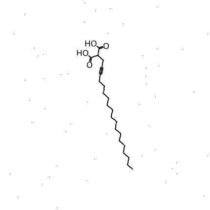 CCCCCCCCCCCCCCCCC#CCC(C(=O)O)C(=O)O